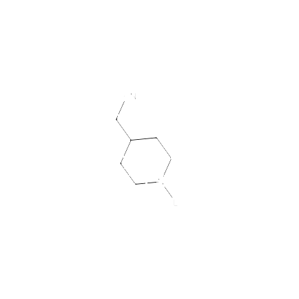 CCN1CCC(CC#N)CC1